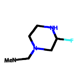 CNCN1CCNC(F)C1